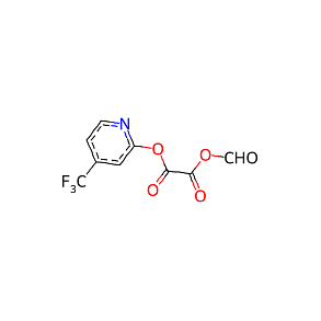 O=COC(=O)C(=O)Oc1cc(C(F)(F)F)ccn1